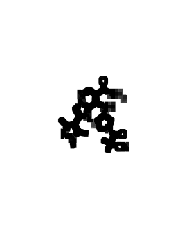 Cc1nn(C)c(C)c1-c1cn2ncc(C(N)=O)c(N[C@@H]3CN(C(=O)C(C)(C)C#N)C[C@@H]3C)c2n1